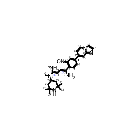 CN(/C(N)=C/C=C(\N)c1ccc(-c2ccn3ccnc3c2)cc1N=O)C1CC(C)(C)NC(C)(C)C1